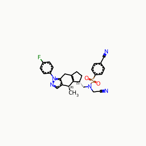 C[C@@H]1C2=C(CC[C@@H]2CN(CC#N)S(=O)(=O)c2ccc(C#N)cc2)Cc2c1cnn2-c1ccc(F)cc1